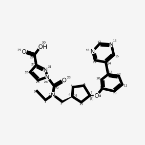 CCN(C[C@H]1CC[C@H](Oc2cccc(-c3cncnc3)c2)C1)C(=O)n1ccc(C(=O)O)n1